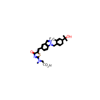 CN(CC(=O)O)C1=NC(=O)/C(=C/c2ccc3c(cnn3CC3=CCC(C(C)(C)O)C=C3C(F)(F)F)c2)S1